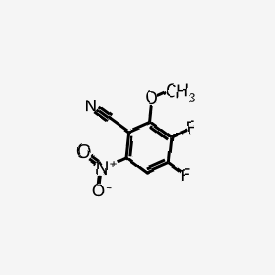 COc1c(F)c(F)cc([N+](=O)[O-])c1C#N